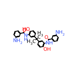 CC(C)(c1ccc(O)c(NC(=O)c2cccc(N)c2)c1)c1ccc(O)c(NC(=O)c2cccc(N)c2)c1